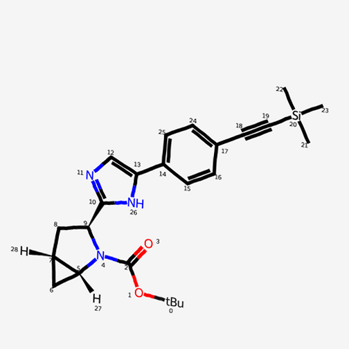 CC(C)(C)OC(=O)N1[C@@H]2C[C@@H]2C[C@H]1c1ncc(-c2ccc(C#C[Si](C)(C)C)cc2)[nH]1